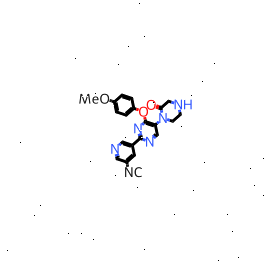 [C-]#[N+]c1cncc(-c2ncc(N3CCNCC3=O)c(Oc3ccc(OC)cc3)n2)c1